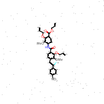 C=CCOC(=O)c1ccc(NC(=O)c2ccc(/C=C(\F)c3ccc([N+](=O)[O-])cc3)c(OC)c2OCC=C)c(OC)c1OCC=C